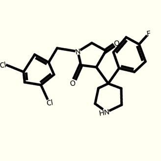 O=C1CN(Cc2cc(Cl)cc(Cl)c2)C(=O)C1C1(c2ccc(F)cc2)CCNCC1